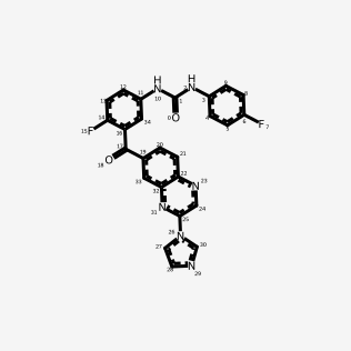 O=C(Nc1ccc(F)cc1)Nc1ccc(F)c(C(=O)c2ccc3ncc(-n4ccnc4)nc3c2)c1